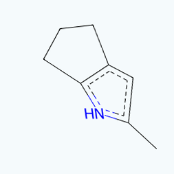 Cc1cc2c([nH]1)CCC2